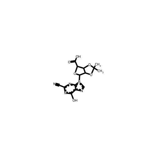 CC1(C)OC2C(C(=O)O)OC(n3cnc4c(O)nc(C#N)nc43)C2O1